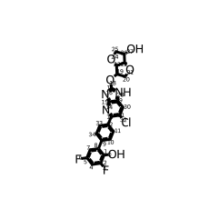 Oc1c(F)cc(F)cc1-c1ccc(-c2nc3nc(OC4COC5C4OC[C@@H]5O)[nH]c3cc2Cl)cc1